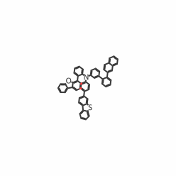 c1cc(-c2ccccc2-c2ccc3ccccc3c2)cc(N(c2ccc(-c3ccc4c(c3)sc3ccccc34)cc2)c2ccccc2-c2cccc3c2oc2ccccc23)c1